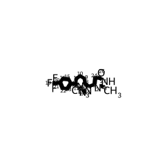 Cc1nc(-c2nnn3c2CCC[C@]3(C)c2ccc(C(F)(F)F)cc2)cc(=O)[nH]1